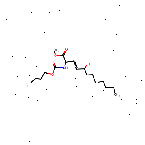 CCCCCCCC(O)/C=C/C(NC(=O)OCCCC)C(=O)OC